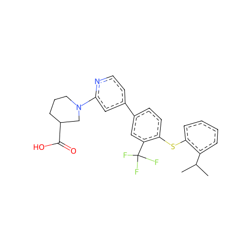 CC(C)c1ccccc1Sc1ccc(-c2ccnc(N3CCCC(C(=O)O)C3)c2)cc1C(F)(F)F